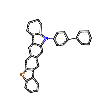 c1ccc(-c2ccc(-n3c4ccccc4c4cc5cc6sc7ccccc7c6cc5cc43)cc2)cc1